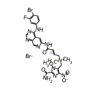 Cn1c(C(N)=O)nc([N+](=O)[O-])c1C[N+](C)(C)C/C=C/C(=O)Nc1cc2c(Nc3ccc(Br)c(F)c3)ncnc2cn1.[Br-]